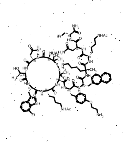 CCc1cccc2c(C[C@@H]3NC(=O)[C@H]([C@@H](C)O)NC(=O)[C@H](CC(N)=O)NC(=O)[C@@H](NC(C)=O)C(C)(C)SSC(C)(C)[C@@H](C(=O)N[C@@H](Cc4ccc(OCCN)cc4)C(=O)N[C@@H](Cc4ccc5ccccc5c4)C(=O)NC(C)(CCCCN)C(=O)N[C@@H](CCCCNC(C)=O)C(=O)N[C@@H](CC(N)=O)C(=O)N[C@H](CC(C)C)C(N)=O)NC(=O)[C@H](CCCCNC(C)=O)NC3=O)c[nH]c12